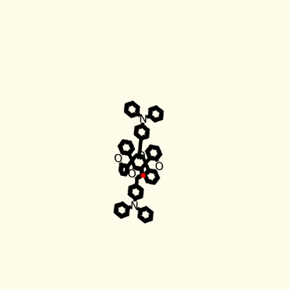 c1ccc(N(c2ccccc2)c2ccc(-c3cc4c(o3)C3(c5ccccc5Oc5ccccc53)c3cc(-c5ccc(N(c6ccccc6)c6ccccc6)cc5)oc3C43c4ccccc4Oc4ccccc43)cc2)cc1